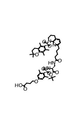 Cc1cc(OCCCC(=O)O)cc(C)c1S(=O)(=O)N[C@@H](CNC(=O)CCCCc1ccc2c(n1)N(S(=O)(=O)c1c(C)c(C)c3c(c1C)CCC(C)(C)O3)CCC2)C(=O)OC(C)(C)C